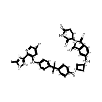 Cc1nc(-c2ncc(F)cc2Oc2ccc(C(C)(C)c3ccc(O[C@H]4C[C@H](Nc5ccc6c(c5)C(=O)N(C5CCC(=O)NC5=O)C6=O)C4)cc3)cc2)no1